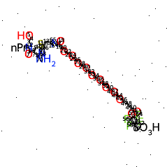 CCCN(CCCO)C(=O)C1=Cc2sc(CC3CN(C(=O)CCOCCOCCOCCOCCOCCOCCOCCOCCOCCCCCC(=O)Oc4c(F)c(F)c(S(=O)(=O)O)c(F)c4F)C3)cc2N=C(N)C1